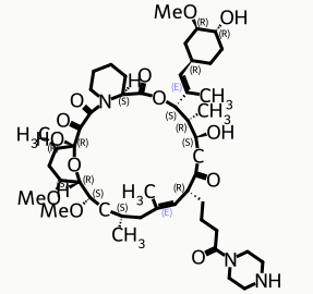 CO[C@H]1C[C@@H](C)C/C(C)=C/[C@@H](CCCC(=O)N2CCNCC2)C(=O)C[C@H](O)[C@@H](C)[C@@H](/C(C)=C/[C@@H]2CC[C@@H](O)[C@H](OC)C2)OC(=O)[C@@H]2CCCCN2C(=O)C(=O)[C@]2(O)O[C@H]1[C@@H](OC)C[C@H]2C